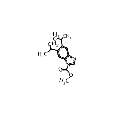 COC(=O)n1cnc2cc(C(C)C)c(C(C)C)cc21